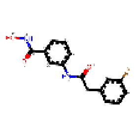 O=C(Cc1cccc(Br)c1)Nc1cccc(C(=O)NO)c1